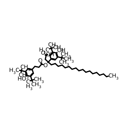 CCCCCCCCCCCCCCCCCCC(CC(=O)O)(OC(=O)CCc1cc(C(C)(C)C)c(O)c(C(C)(C)C)c1)c1cc(C(C)(C)C)c(O)c(C(C)(C)C)c1